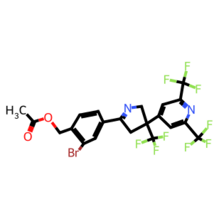 CC(=O)OCc1ccc(C2=NCC(c3cc(C(F)(F)F)nc(C(F)(F)F)c3)(C(F)(F)F)C2)cc1Br